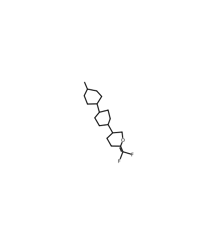 CC1CCC(C2CCC(C3CCC(=C(F)F)OC3)CC2)CC1